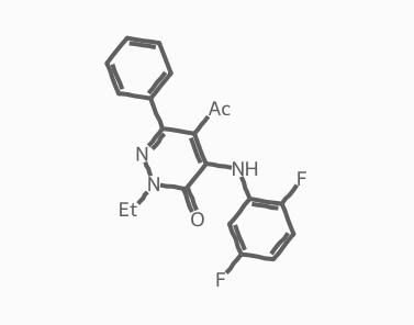 CCn1nc(-c2ccccc2)c(C(C)=O)c(Nc2cc(F)ccc2F)c1=O